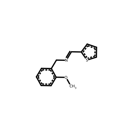 COc1ccccc1CN=Cc1cccs1